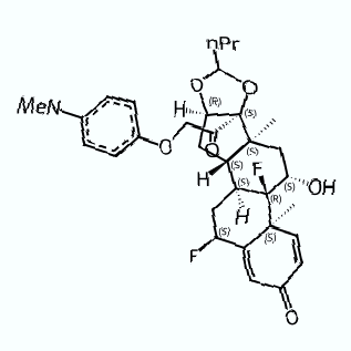 CCCC1O[C@@H]2C[C@H]3[C@@H]4C[C@H](F)C5=CC(=O)C=C[C@]5(C)[C@@]4(F)[C@@H](O)C[C@]3(C)[C@]2(C(=O)COc2ccc(NC)cc2)O1